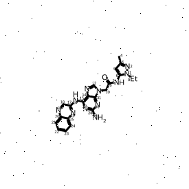 CCn1nc(C)cc1NC(=O)Cn1cnc2c(Nc3cnc4ccccc4n3)nc(N)nc21